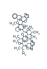 CC[C@H](C)C([C@@H](CC(=O)N1CCC[C@H]1[C@H](OC)[C@@H](C)C(=O)N[C@@H](Cc1ccccc1)c1nccs1)OC)N(C)C(=O)[C@@H](NC(=O)C(C(C)C)N(C)Cc1ncc[nH]1)C(C)C